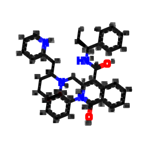 CC[C@H](NC(=O)c1c(CN2CCCCC2Cc2ccccn2)n(-c2ccccc2)c(=O)c2ccccc12)c1ccccc1